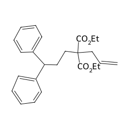 C=CCC(CCC(c1ccccc1)c1ccccc1)(C(=O)OCC)C(=O)OCC